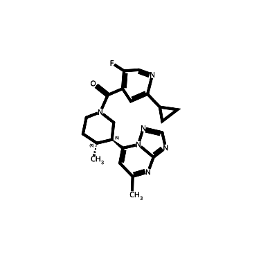 Cc1cc([C@@H]2CN(C(=O)c3cc(C4CC4)ncc3F)CC[C@H]2C)n2ncnc2n1